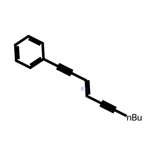 CCCCC#C/C=C/C#Cc1ccccc1